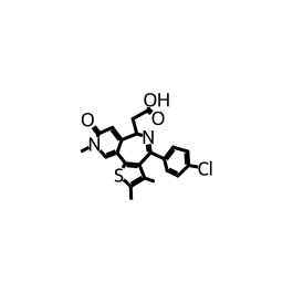 Cc1sc2c(c1C)C(c1ccc(Cl)cc1)=NC(CC(=O)O)c1cc(=O)n(C)cc1-2